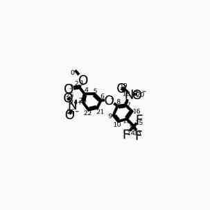 COC(=O)c1cc(Oc2ccc(C(F)(F)F)cc2[N+](=O)[O-])ccc1[N+](=O)[O-]